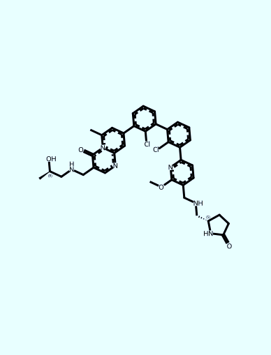 COc1nc(-c2cccc(-c3cccc(-c4cc(C)n5c(=O)c(CNC[C@@H](C)O)cnc5c4)c3Cl)c2Cl)ccc1CNC[C@@H]1CCC(=O)N1